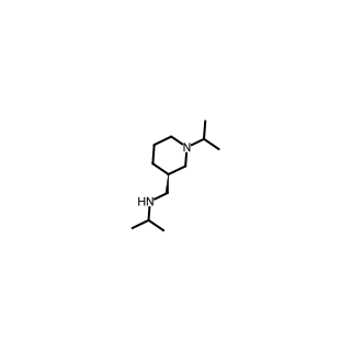 CC(C)NC[C@H]1CCCN(C(C)C)C1